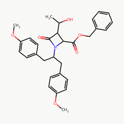 COc1ccc(CC(Cc2ccc(OC)cc2)N2C(=O)C(C(C)O)C2C(=O)OCc2ccccc2)cc1